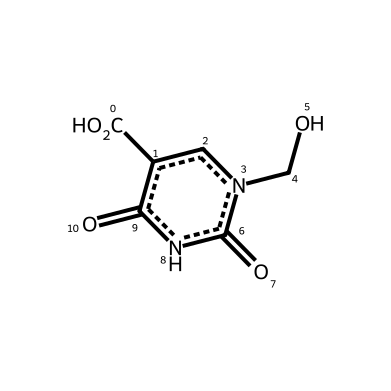 O=C(O)c1cn(CO)c(=O)[nH]c1=O